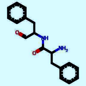 NC(Cc1ccccc1)C(=O)NC(C=O)Cc1ccccc1